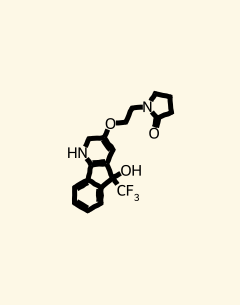 O=C1CCCN1CCOC1=CC2=C(NC1)c1ccccc1C2(O)C(F)(F)F